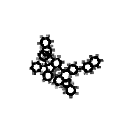 c1ccc(C2(c3ccccc3)c3ccccc3-c3c(N(c4ccc(-c5ccc6ccccc6c5)cc4)c4cccc5c4oc4ccccc45)ccc(-c4ccc5ccccc5c4)c32)cc1